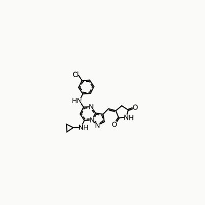 O=C1CC(=Cc2cnn3c(NC4CC4)cc(Nc4cccc(Cl)c4)nc23)C(=O)N1